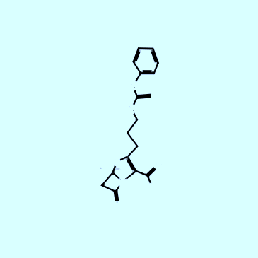 O=C(O)C1=C(CCCNC(=S)Nc2ccccc2)S[C@@H]2CC(=O)N12